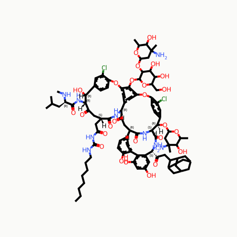 CCCCCCCCNC(=O)NC(=O)C[C@@H]1CC(=O)[C@H](NC(=O)[C@@H](CC(C)C)NC)[C@H](O)c2ccc(c(Cl)c2)Oc2cc3cc(c2OC2OC(CO)C(O)C(O)C2OC2CC(C)(N)C(O)C(C)O2)Oc2ccc(cc2Cl)[C@@H](OC2CC(C)(N)C(O)C(C)O2)[C@@H]2NC(=O)[C@H](CC(=O)[C@@H]3NC1=O)c1ccc(O)c(c1)-c1c(O)cc(O)cc1[C@@H](C(=O)CC1C3CC4CC(C3)CC1C4)NC2=O